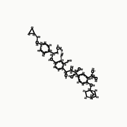 CC[C@@H](Oc1ccc(C(=O)NS(=O)(=O)c2ccc(OC34CCN(CC3)C4)c([N+](=O)[O-])c2)c(F)c1F)c1ccc(OCC2CC2)cn1